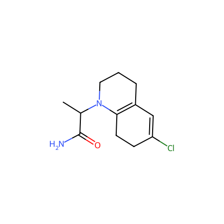 CC(C(N)=O)N1CCCC2=C1CCC(Cl)=C2